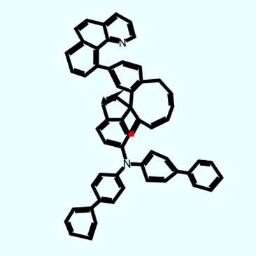 C=C1/C=C\C=C/Cc2ccc(-c3cccc4ccc5cccnc5c34)cc2C12c1ccccc1-c1ccc(N(c3ccc(-c4ccccc4)cc3)c3ccc(-c4ccccc4)cc3)cc12